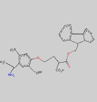 COc1cc(C(C)N)c([N+](=O)[O-])cc1OCCC(C(=O)O)C(=O)OCC1c2ccccc2-c2ccccc21